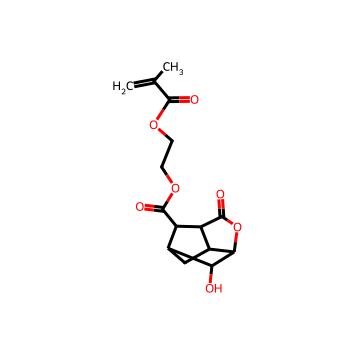 C=C(C)C(=O)OCCOC(=O)C1C2CC3C(OC(=O)C31)C2O